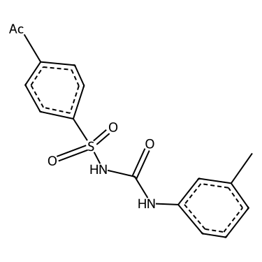 CC(=O)c1ccc(S(=O)(=O)NC(=O)Nc2cccc(C)c2)cc1